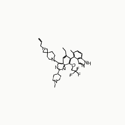 C=CCN1CC2(CCN(c3nc(C4CCN(C)CC4)nc4c(OCC(F)(F)F)c(-c5c(C)ccc6[nH]ncc56)c(CC)cc34)CC2)C1